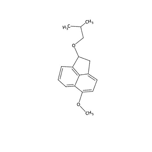 COc1ccc2c3c(cccc13)C(OCC(C)C)C2